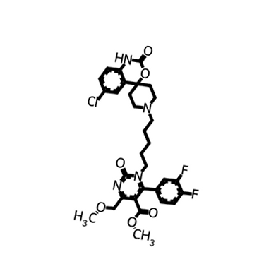 COCc1nc(=O)n(CCCCCN2CCC3(CC2)OC(=O)Nc2ccc(Cl)cc23)c(-c2ccc(F)c(F)c2)c1C(=O)OC